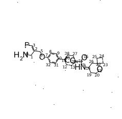 NC/C(=C\F)COc1ccc(C23CCC(C(=O)NC4CCOC5(CCC5)C4)(CC2)CC3)cc1